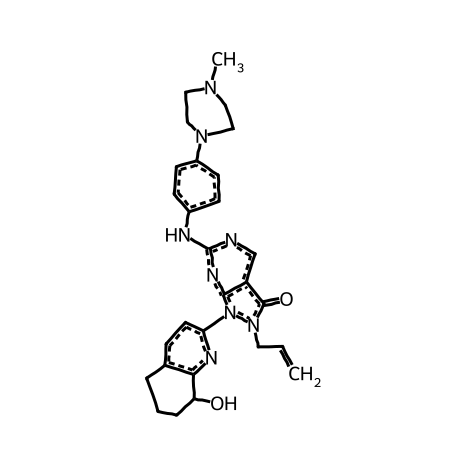 C=CCn1c(=O)c2cnc(Nc3ccc(N4CCN(C)CC4)cc3)nc2n1-c1ccc2c(n1)C(O)CCC2